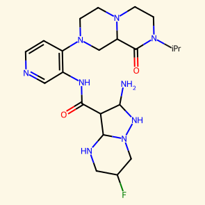 CC(C)N1CCN2CCN(c3ccncc3NC(=O)C3C(N)NN4CC(F)CNC34)CC2C1=O